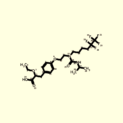 CCOC(Cc1ccc(OCCN(CCCCC(F)(F)C(F)(F)F)C(=O)NC(C)C)cc1)C(=O)O